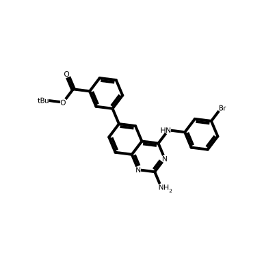 CC(C)(C)OC(=O)c1cccc(-c2ccc3nc(N)nc(Nc4cccc(Br)c4)c3c2)c1